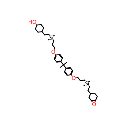 CC(C)(c1ccc(OCCC[Si](C)(C)CCC2CCC(O)CC2)cc1)c1ccc(OCCC[Si](C)(C)CCC2CCC3OC3C2)cc1